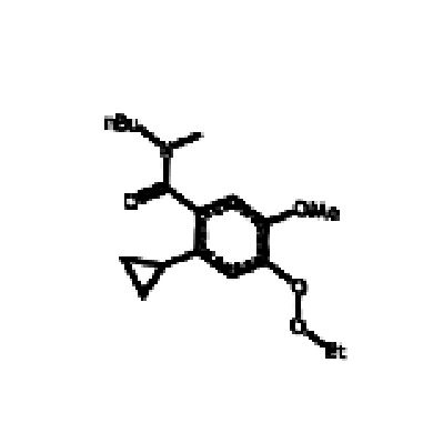 CCCCN(C)C(=O)c1cc(OC)c(OOCC)cc1C1CC1